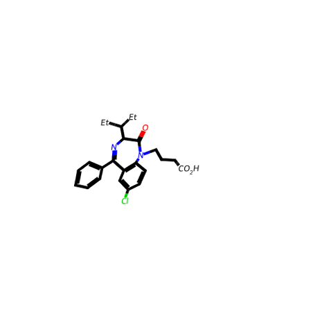 CCC(CC)C1N=C(c2ccccc2)c2cc(Cl)ccc2N(CCCC(=O)O)C1=O